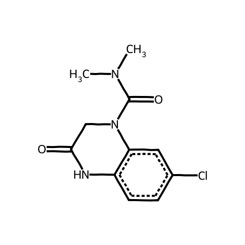 CN(C)C(=O)N1CC(=O)Nc2ccc(Cl)cc21